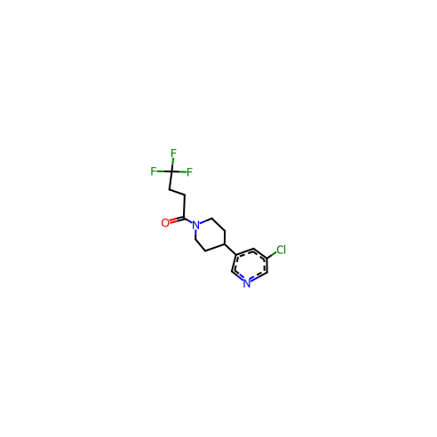 O=C(CCC(F)(F)F)N1CCC(c2cncc(Cl)c2)CC1